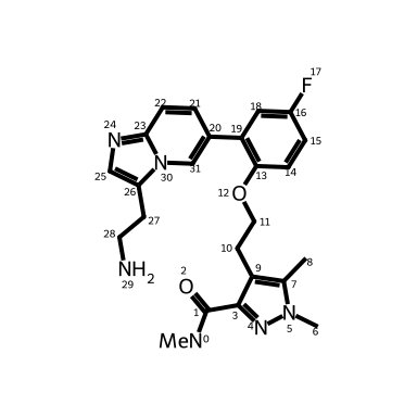 CNC(=O)c1nn(C)c(C)c1CCOc1ccc(F)cc1-c1ccc2ncc(CCN)n2c1